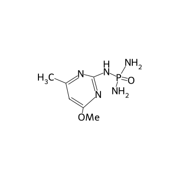 COc1cc(C)nc(NP(N)(N)=O)n1